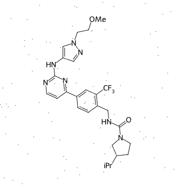 COCCn1cc(Nc2nccc(-c3ccc(CNC(=O)N4CCC(C(C)C)C4)c(C(F)(F)F)c3)n2)cn1